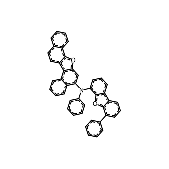 c1ccc(-c2cccc3c2oc2c(N(c4ccccc4)c4cc5oc6c7ccccc7ccc6c5c5ccccc45)cccc23)cc1